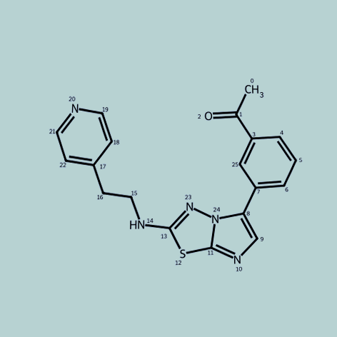 CC(=O)c1cccc(-c2cnc3sc(NCCc4ccncc4)nn23)c1